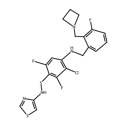 Fc1cccc(CNc2cc(F)c(SNc3cscn3)c(F)c2Cl)c1CN1CCC1